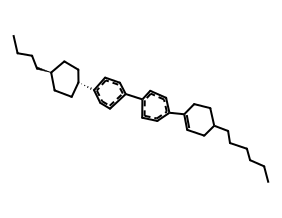 CCCCCCC1CC=C(c2ccc(-c3ccc([C@H]4CC[C@H](CCCC)CC4)cc3)cc2)CC1